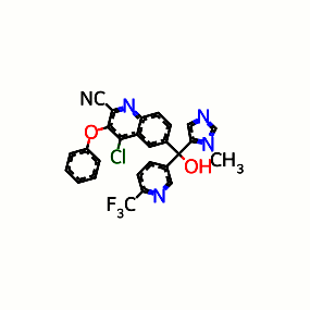 Cn1cncc1C(O)(c1ccc(C(F)(F)F)nc1)c1ccc2nc(C#N)c(Oc3ccccc3)c(Cl)c2c1